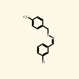 CCc1cccc(/[C]=N\OCc2ccc(C(F)(F)F)cc2)c1